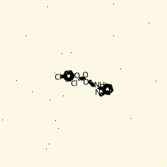 O=C(COc1ccc(Cl)cc1Cl)OCCNC1=NCc2ccccc21